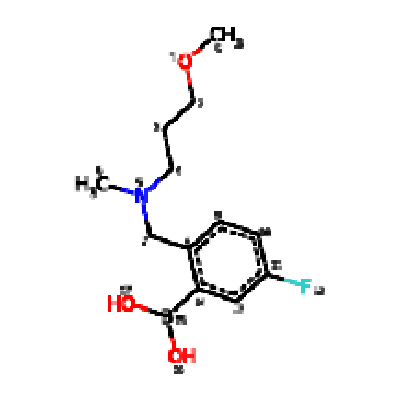 COCCCN(C)Cc1ccc(F)cc1B(O)O